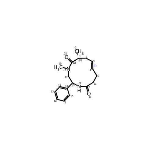 C[C@@H]1C/C=C/CCC(=O)NC(c2ccccc2)CN(C)C1=O